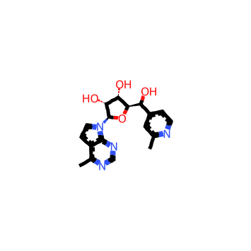 Cc1cc(C(O)[C@H]2O[C@@H](n3ccc4c(C)ncnc43)[C@H](O)[C@@H]2O)ccn1